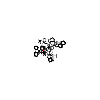 CC(C)(C)OC(=O)CC[C@@H](C(=O)N[C@@H](CC(=O)NC(c1ccccc1)(c1ccccc1)c1ccccc1)C(=O)N[C@@H](Cc1cccnc1)C(=O)O)N(C(=O)[C@@H](N)Cc1ccc2ccccc2c1)C1CCCCO1